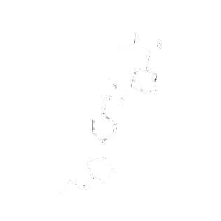 CCCN1CC[C@@H](c2ccc(NS(=O)(=O)c3cccc([C@H](C)C(F)F)c3)cc2)C1